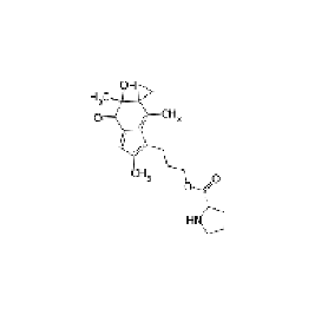 CC1=C(CCCOC(=O)[C@@H]2CCCN2)C2=C(C)C3(CC3)[C@@](C)(O)C(=O)C2=C1